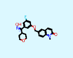 Cn1c(=O)ccc2cc(COc3cc(F)cc(/C(=N\O)C4CCOCC4)c3)ccc21